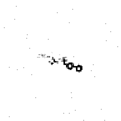 CN(CC1CCN(C(=O)OC(C)(C)C)C1)C(=O)Cc1ccc(-c2ccccc2)cc1